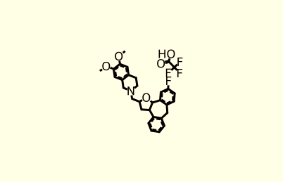 COc1cc2c(cc1OC)CN(CC1CC3c4ccccc4Cc4ccc(F)cc4C3O1)CC2.O=C(O)C(F)(F)F